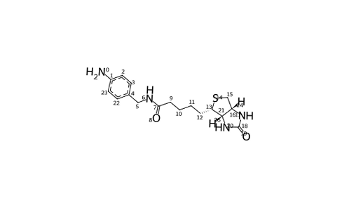 Nc1ccc(CNC(=O)CCCC[C@@H]2SC[C@@H]3NC(=O)N[C@@H]32)cc1